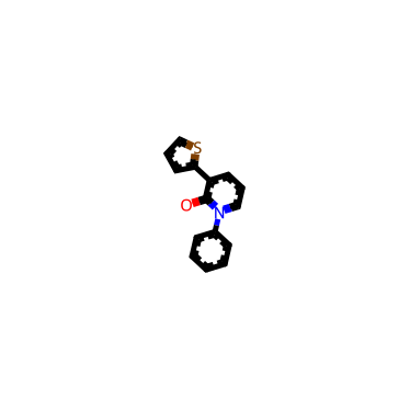 O=c1c(-c2cccs2)cccn1-c1ccccc1